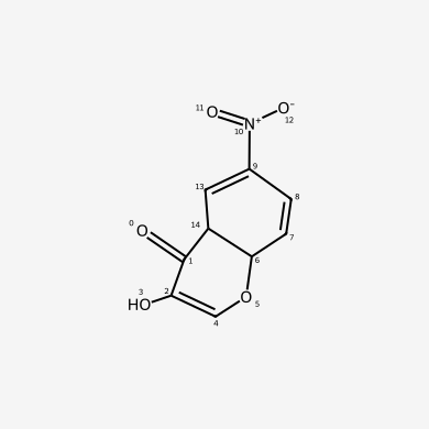 O=C1C(O)=COC2C=CC([N+](=O)[O-])=CC12